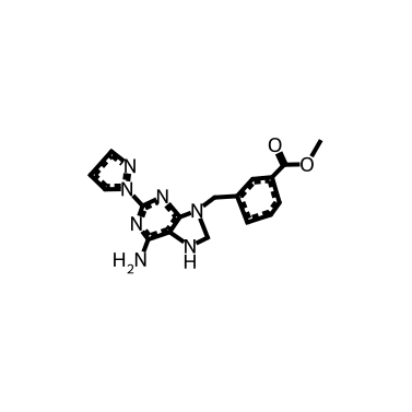 COC(=O)c1cccc(CN2CNc3c(N)nc(-n4cccn4)nc32)c1